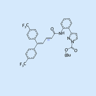 CC(C)(C)OC(=O)n1ccc(-c2ccccc2NC(=O)/C=C/C=C(c2ccc(C(F)(F)F)cc2)c2ccc(C(F)(F)F)cc2)n1